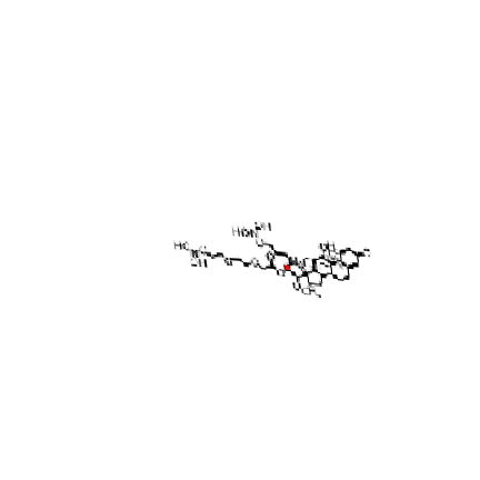 C[C@H]1CC2C3CCC4=CC(=O)C=C[C@]4(C)[C@@]3(F)[C@@H](O)C[C@]2(C)[C@@]1(OC(=O)CCCON(O)O)C(=O)COC(=O)COCCOCCON(O)O